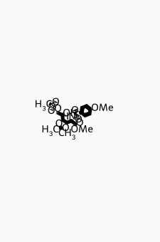 COC(=O)[C@H](NS(=O)(=O)c1ccc(OC)cc1)[C@H]1OC(C)(C)O[C@@H]1[C@@H](O)COS(C)(=O)=O